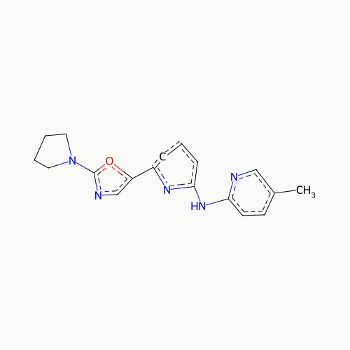 Cc1ccc(Nc2cccc(-c3cnc(N4CCCC4)o3)n2)nc1